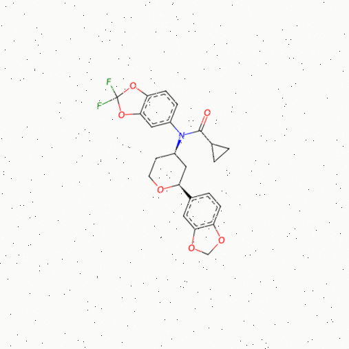 O=C(C1CC1)N(c1ccc2c(c1)OC(F)(F)O2)[C@@H]1CCO[C@H](c2ccc3c(c2)OCO3)C1